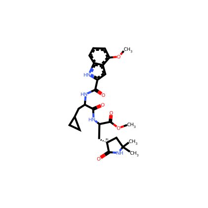 COC(=O)C(C[C@@H]1CC(C)(C)NC1=O)NC(=O)C(CC1CC1)NC(=O)c1cc2c(OC)cccc2[nH]1